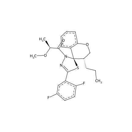 CCC[C@H]1COc2ccccc2[C@]12SC(c1cc(F)ccc1F)=NN2C(=O)[C@H](C)OC